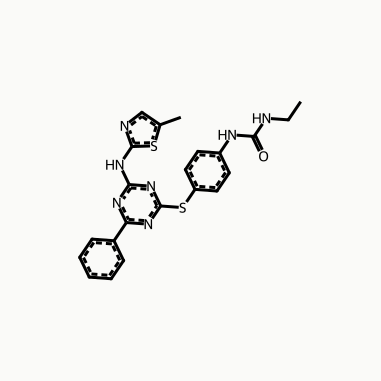 CCNC(=O)Nc1ccc(Sc2nc(Nc3ncc(C)s3)nc(-c3ccccc3)n2)cc1